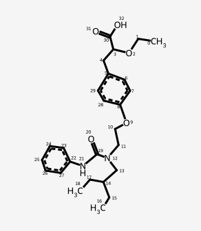 CCOC(Cc1ccc(OCCN(CC(CC)CC)C(=O)Nc2ccccc2)cc1)C(=O)O